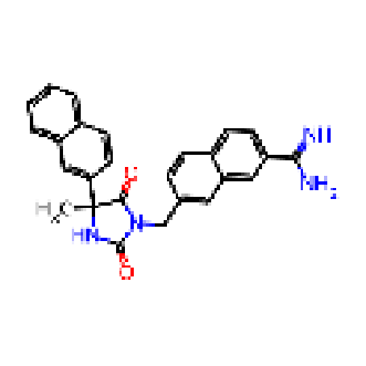 CC1(c2ccc3ccccc3c2)NC(=O)N(Cc2ccc3ccc(C(=N)N)cc3c2)C1=O